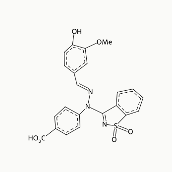 COc1cc(C=NN(C2=NS(=O)(=O)c3ccccc32)c2ccc(C(=O)O)cc2)ccc1O